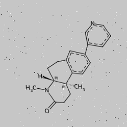 CN1C(=O)CC[C@]2(C)c3ccc(-c4cccnc4)cc3CC[C@@H]12